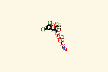 O=NOCCOC(=O)OCOC(=O)C1=Cc2cc(Cl)cc(Cl)c2OC1C(F)(F)F